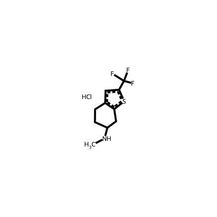 CNC1CCc2cc(C(F)(F)F)sc2C1.Cl